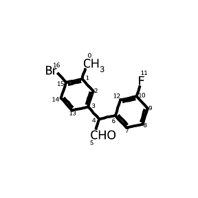 Cc1cc(C(C=O)c2cccc(F)c2)ccc1Br